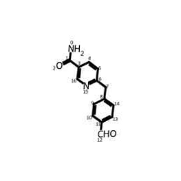 NC(=O)c1ccc(Cc2ccc(C=O)cc2)nc1